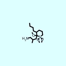 CCCCC1CCC[Si](OC)(OC)C1(CC(C)CN)OC